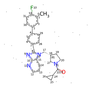 Cc1cc(-c2ccc(-c3nc4ncccc4n3C[C@@H]3CCN(C(=O)C4CC4)C3)cc2)ccc1F